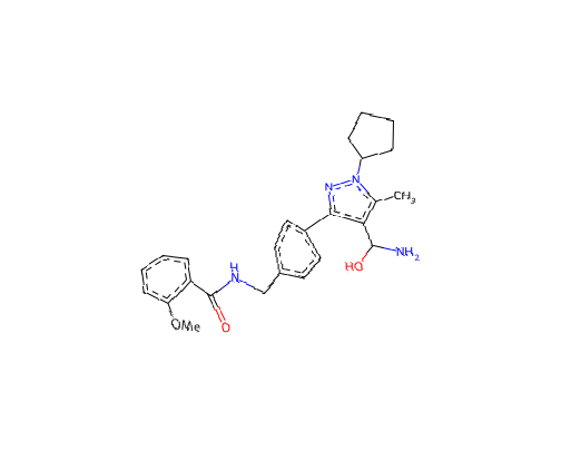 COc1ccccc1C(=O)NCc1ccc(-c2nn(C3CCCC3)c(C)c2C(N)O)cc1